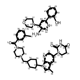 Cc1cc(C(=O)N2CCN(CC3CCC(n4cc(C)c5cc(N6CCC(=O)NC6=O)cnc54)CC3)CC2)ccc1[C@H]1CN(c2cc(-c3ccccc3O)nnc2N)CCO1